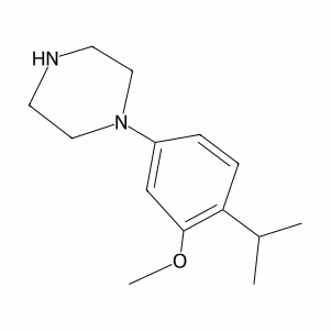 COc1cc(N2CCNCC2)ccc1C(C)C